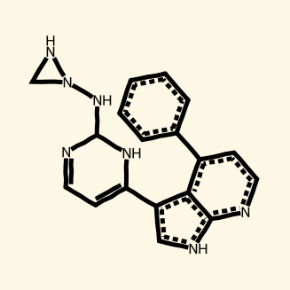 C1=NC(NN2CN2)NC(c2c[nH]c3nccc(-c4ccccc4)c23)=C1